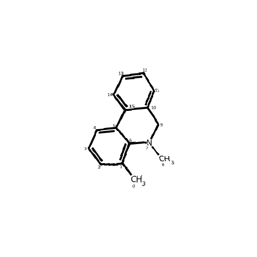 Cc1cccc2c1N(C)Cc1ccccc1-2